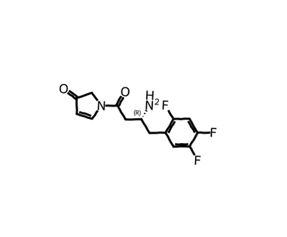 N[C@@H](CC(=O)N1C=CC(=O)C1)Cc1cc(F)c(F)cc1F